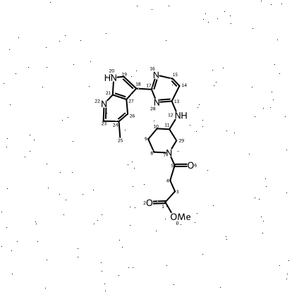 COC(=O)CCC(=O)N1CCCC(Nc2ccnc(-c3c[nH]c4ncc(C)cc34)n2)C1